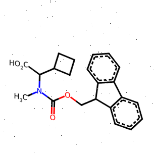 CN(C(=O)OCC1c2ccccc2-c2ccccc21)C(C(=O)O)C1CCC1